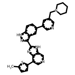 Cc1ccc(-c2cncc3[nH]c(-c4n[nH]c5ccc(-c6cncc(CN7CCCCC7)c6)cc45)nc23)s1